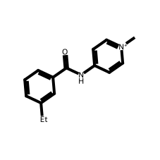 CCc1cccc(C(=O)Nc2cc[n+](C)cc2)c1